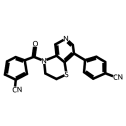 N#Cc1ccc(-c2cncc3c2SCCN3C(=O)c2cccc(C#N)c2)cc1